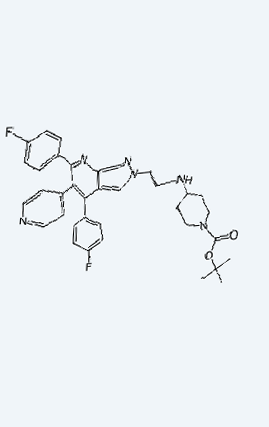 CC(C)(C)OC(=O)N1CCC(NCCn2cc3c(-c4ccc(F)cc4)c(-c4ccncc4)c(-c4ccc(F)cc4)nc3n2)CC1